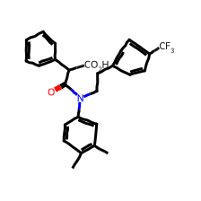 Cc1ccc(N(CCc2ccc(C(F)(F)F)cc2)C(=O)C(C(=O)O)c2ccccc2)cc1C